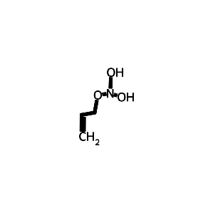 C=CCON(O)O